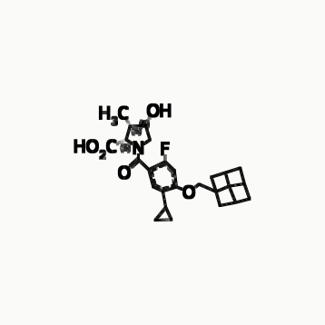 C[C@@H]1[C@H](O)CN(C(=O)c2cc(C3CC3)c(OCC34CC5CC6CC(C3)C654)cc2F)[C@@H]1C(=O)O